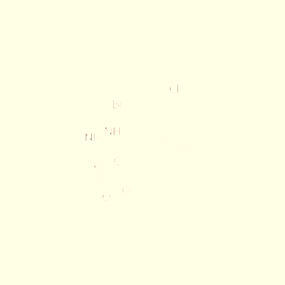 ClC(Br)c1ccccc1.N=C=O.N=C=O